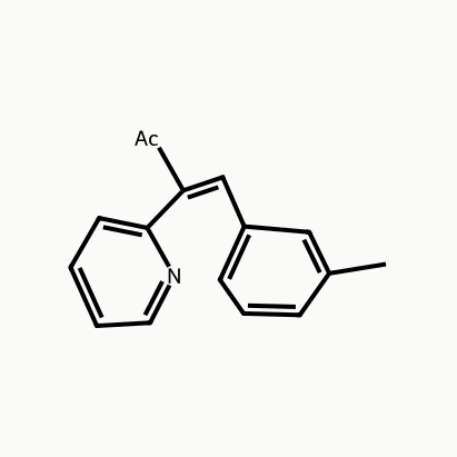 CC(=O)/C(=C/c1cccc(C)c1)c1ccccn1